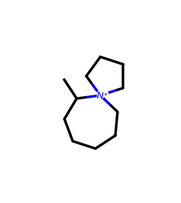 CC1CCCCC[N+]12CCCC2